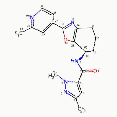 Cn1nc(C(F)(F)F)cc1C(=O)N[C@@H]1CCCc2nc(-c3ccnc(C(F)(F)F)c3)oc21